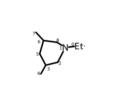 C[CH]N1CC(C)CC(C)C1